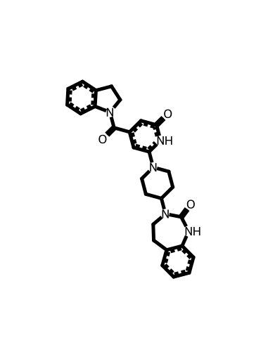 O=C(c1cc(N2CCC(N3CCc4ccccc4NC3=O)CC2)[nH]c(=O)c1)N1CCc2ccccc21